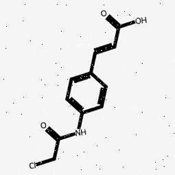 O=C(O)C=Cc1ccc(NC(=O)CCl)cc1